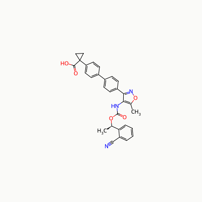 Cc1onc(-c2ccc(-c3ccc(C4(C(=O)O)CC4)cc3)cc2)c1NC(=O)O[C@H](C)c1ccccc1C#N